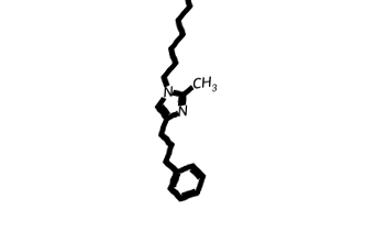 CCCCCCCn1cc(CCCc2ccccc2)nc1C